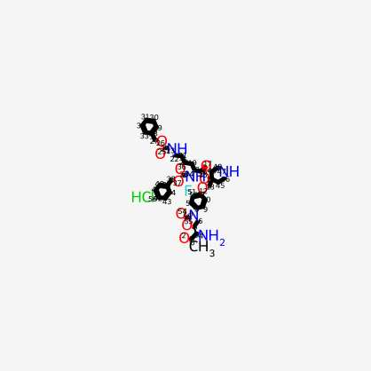 CC(=O)C(N)[C@@H]1CN(c2ccc(OCC3(OC(=O)C(CCCCNC(=O)OCc4ccccc4)NC(=O)OCc4ccccc4)CCNCC3)c(F)c2)C(=O)O1.Cl